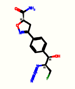 [N-]=[N+]=N[C@H](CF)[C@H](O)c1ccc(C2=NO[C@H](C(N)=O)C2)cc1